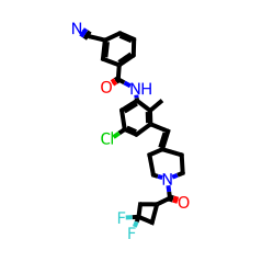 Cc1c(C=C2CCN(C(=O)C3CC(F)(F)C3)CC2)cc(Cl)cc1NC(=O)c1cccc(C#N)c1